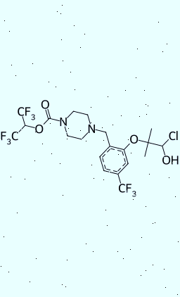 CC(C)(Oc1cc(C(F)(F)F)ccc1CN1CCN(C(=O)OC(C(F)(F)F)C(F)(F)F)CC1)C(O)Cl